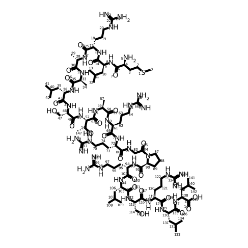 CSCC[C@H](N)C(=O)N[C@@H](CC(C)C)C(=O)N[C@@H](CCCNC(=N)N)C(=O)N[C@@H](C)C(=O)N[C@@H](C)C(=O)N[C@@H](CC(C)C)C(=O)N[C@@H](CO)C(=O)N[C@H](C(=O)N[C@@H](C)C(=O)N[C@@H](CCCNC(=N)N)C(=O)N[C@@H](CCCNC(=N)N)C(=O)NCC(=O)N1CCC[C@H]1C(=O)N[C@@H](CCCNC(=N)N)C(=O)N[C@@H](CC(C)C)C(=O)N[C@@H](CO)C(=O)N[C@@H](CCCNC(=N)N)C(=O)N[C@@H](CC(C)C)C(=O)N[C@@H](CC(C)C)C(=O)O)[C@@H](C)O